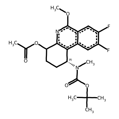 COc1nc2c(c3cc(F)c(F)cc13)[C@H](N(C)C(=O)OC(C)(C)C)CCC2OC(C)=O